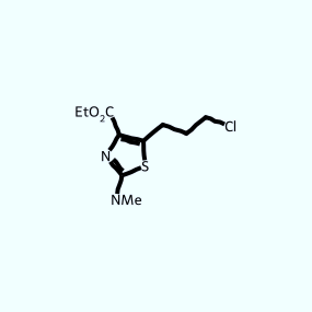 CCOC(=O)c1nc(NC)sc1CCCCl